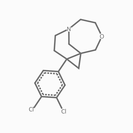 Clc1ccc(C23CCN4CCOCC2(C4)C3)cc1Cl